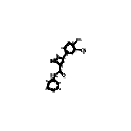 N#Cc1cc(-c2cc(C(=O)Nc3ccccc3)[nH]n2)ccc1F